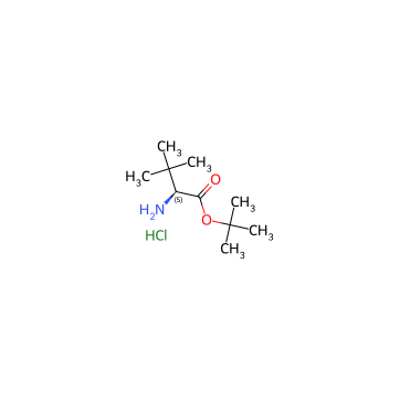 CC(C)(C)OC(=O)[C@@H](N)C(C)(C)C.Cl